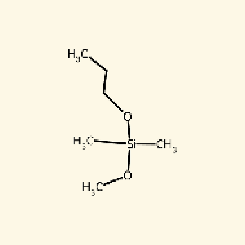 CCCO[Si](C)(C)OC